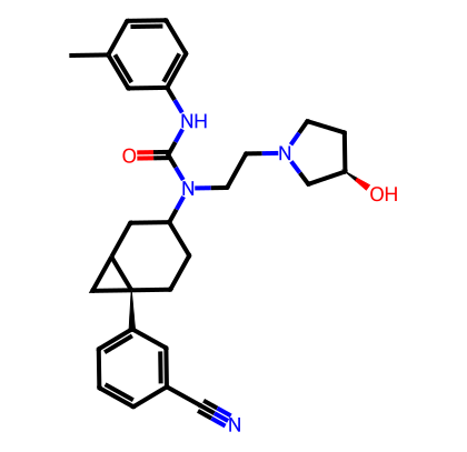 Cc1cccc(NC(=O)N(CCN2CC[C@@H](O)C2)C2CC[C@]3(c4cccc(C#N)c4)CC3C2)c1